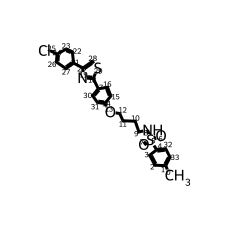 Cc1ccc(S(=O)(=O)NCCCCOc2ccc(-c3nc(-c4ccc(Cl)cc4)cs3)cc2)cc1